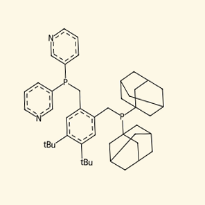 CC(C)(C)c1cc(CP(c2cccnc2)c2cccnc2)c(CP(C23CC4CC(CC(C4)C2)C3)C23CC4CC(CC(C4)C2)C3)cc1C(C)(C)C